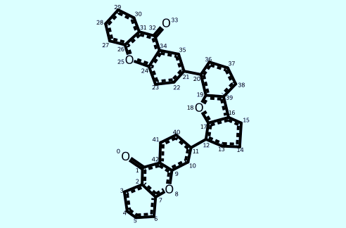 O=c1c2ccccc2oc2cc(-c3cccc4c3oc3c(-c5ccc6oc7ccccc7c(=O)c6c5)cccc34)ccc12